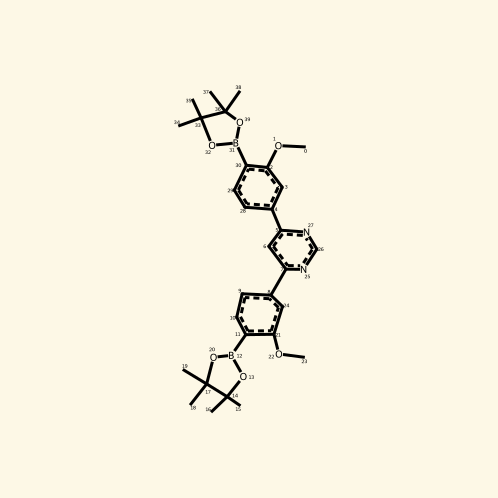 COc1cc(-c2cc(-c3ccc(B4OC(C)(C)C(C)(C)O4)c(OC)c3)ncn2)ccc1B1OC(C)(C)C(C)(C)O1